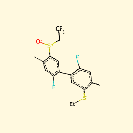 CCSc1cc(-c2cc([S+]([O-])CC(F)(F)F)c(C)cc2F)c(F)cc1C